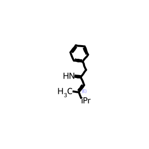 C/C(=C\C(=N)Cc1ccccc1)C(C)C